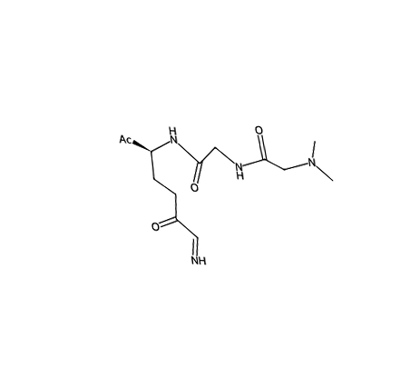 CC(=O)[C@H](CCC(=O)C=N)NC(=O)CNC(=O)CN(C)C